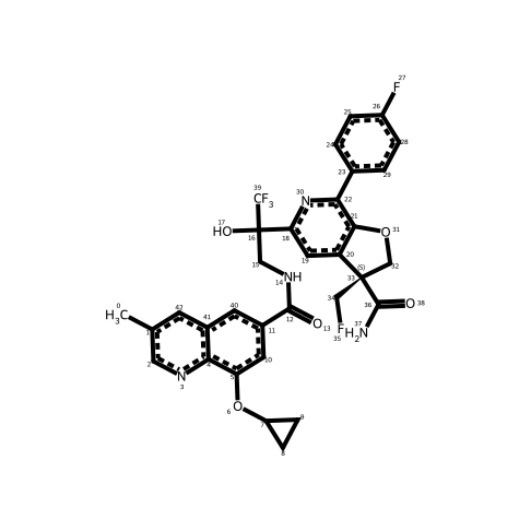 Cc1cnc2c(OC3CC3)cc(C(=O)NCC(O)(c3cc4c(c(-c5ccc(F)cc5)n3)OC[C@]4(CF)C(N)=O)C(F)(F)F)cc2c1